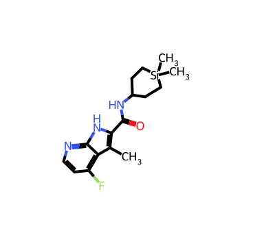 Cc1c(C(=O)NC2CC[Si](C)(C)CC2)[nH]c2nccc(F)c12